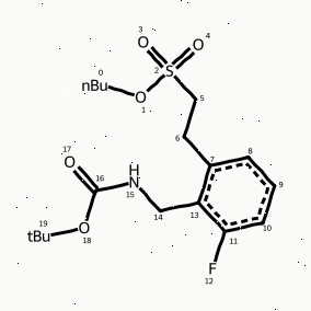 CCCCOS(=O)(=O)CCc1cccc(F)c1CNC(=O)OC(C)(C)C